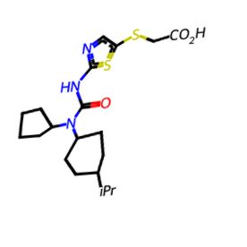 CC(C)C1CCC(N(C(=O)Nc2ncc(SCC(=O)O)s2)C2CCCC2)CC1